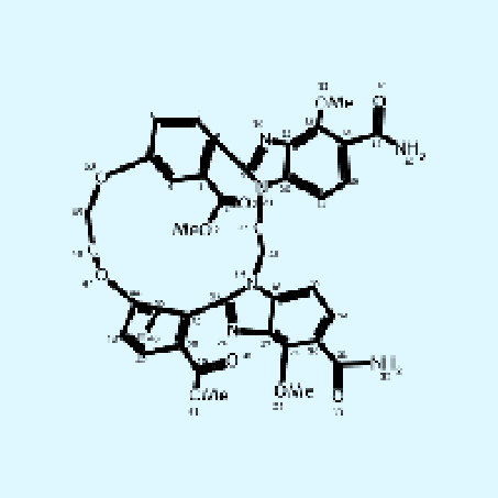 COC(=O)c1cc2ccc1-c1nc3c(OC)c(C(N)=O)ccc3n1CCn1c(nc3c(OC)c(C(N)=O)ccc31)-c1c(C(=O)OC)ccc(c1F)OCCO2